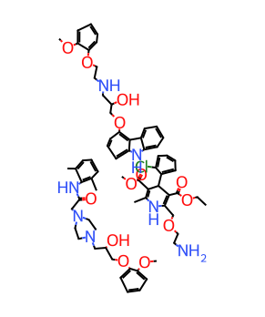 CCOC(=O)C1=C(COCCN)NC(C)=C(C(=O)OC)C1c1ccccc1Cl.COc1ccccc1OCC(O)CN1CCN(CC(=O)Nc2c(C)cccc2C)CC1.COc1ccccc1OCCNCC(O)COc1cccc2[nH]c3ccccc3c12